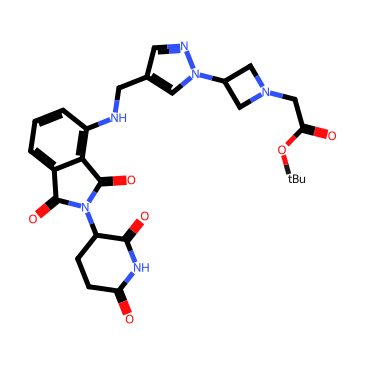 CC(C)(C)OC(=O)CN1CC(n2cc(CNc3cccc4c3C(=O)N(C3CCC(=O)NC3=O)C4=O)cn2)C1